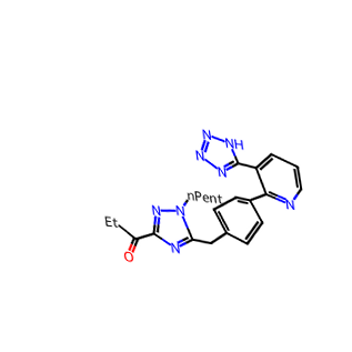 CCCCCn1nc(C(=O)CC)nc1Cc1ccc(-c2ncccc2-c2nnn[nH]2)cc1